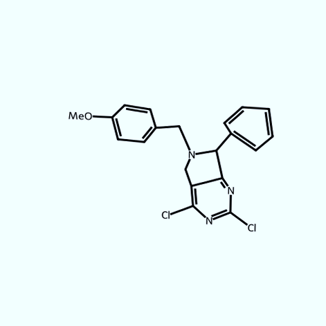 COc1ccc(CN2Cc3c(Cl)nc(Cl)nc3C2c2ccccc2)cc1